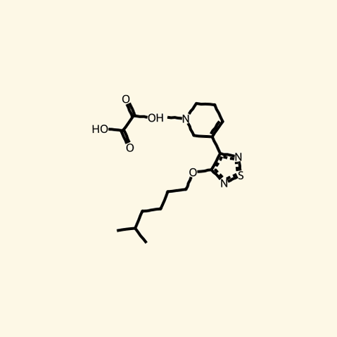 CC(C)CCCCOc1nsnc1C1=CCCN(C)C1.O=C(O)C(=O)O